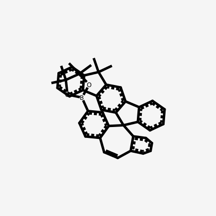 CC1(C)c2ccccc2-c2cc3c(cc21)-c1ccccc1C31c2ccccc2C=Cc2ccc(B3OC(C)(C)C(C)(C)O3)cc21